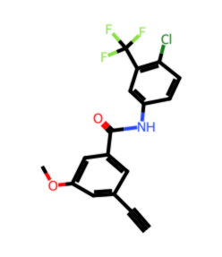 C#Cc1cc(OC)cc(C(=O)Nc2ccc(Cl)c(C(F)(F)F)c2)c1